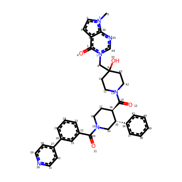 Cn1ccc2c(=O)n(CC3(O)CCN(C(=O)[C@@H]4CCN(C(=O)c5cccc(-c6ccncc6)c5)C[C@H]4c4ccccc4)CC3)cnc21